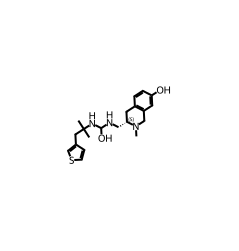 CN1Cc2cc(O)ccc2C[C@H]1CNC(O)NC(C)(C)Cc1ccsc1